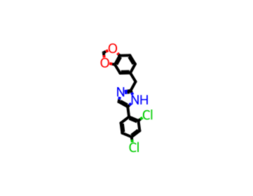 Clc1ccc(-c2cnc(Cc3ccc4c(c3)OCO4)[nH]2)c(Cl)c1